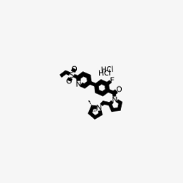 CCS(=O)(=O)c1ccc(-c2ccc(C(=O)N3CCCC3CN3CCC[C@@H]3C)c(F)c2)cn1.Cl.Cl